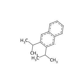 CC(C)c1[c]c2ccccc2cc1C(C)C